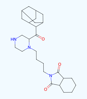 O=C(C1C2CC3CC(C2)CC1C3)C1CNCCN1CCCCN1C(=O)C2CCCCC2C1=O